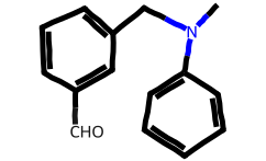 CN(Cc1cccc(C=O)c1)c1ccccc1